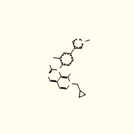 Cc1cc(-c2cnn(C)c2)ccc1N1C(N)=NC=C2C=CN(CC3CC3)C(N)=C21